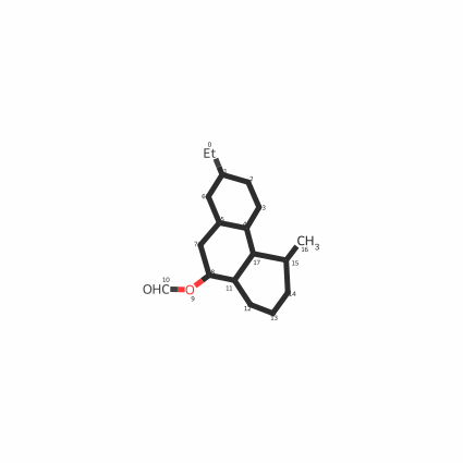 CCC1CCC2C(C1)CC(OC=O)C1CCCC(C)C21